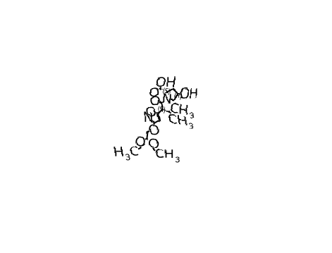 CCOC(COc1cc([C@@H](C(=O)N2C[C@H](O)C[C@H]2C(=O)O)C(C)C)on1)OCC